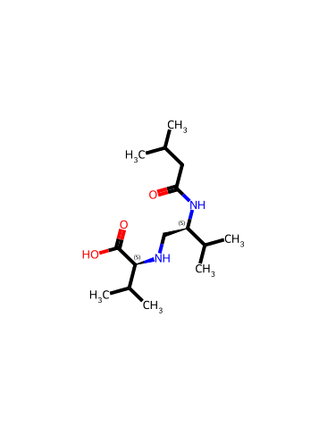 CC(C)CC(=O)N[C@H](CN[C@H](C(=O)O)C(C)C)C(C)C